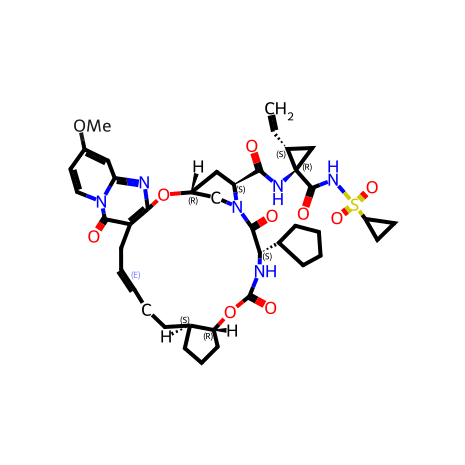 C=C[C@@H]1C[C@]1(NC(=O)[C@@H]1C[C@@H]2CN1C(=O)[C@H](C1CCCC1)NC(=O)O[C@@H]1CCC[C@H]1CC/C=C/Cc1c(nc3cc(OC)ccn3c1=O)O2)C(=O)NS(=O)(=O)C1CC1